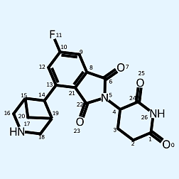 O=C1CCC(N2C(=O)c3cc(F)cc(C4C5CNCC4C5)c3C2=O)C(=O)N1